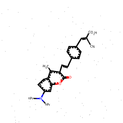 CCCN(CCC)c1ccc2c(C)c(/C=C/c3ccc(/C=C(\C#N)C(=O)O)cc3)c(=O)oc2c1